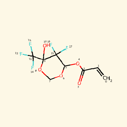 C=CC(=O)OC1OCOC(O)(C(F)(F)F)C1(F)F